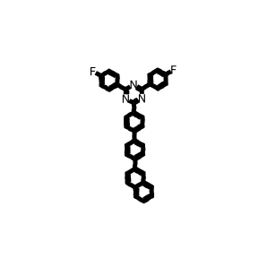 Fc1ccc(-c2nc(-c3ccc(F)cc3)nc(-c3ccc(-c4ccc(-c5ccc6ccccc6c5)cc4)cc3)n2)cc1